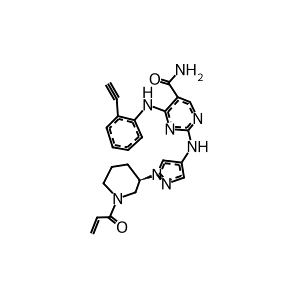 C#Cc1ccccc1Nc1nc(Nc2cnn([C@@H]3CCCN(C(=O)C=C)C3)c2)ncc1C(N)=O